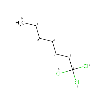 [CH2]CCCCCC(Cl)(Cl)Cl